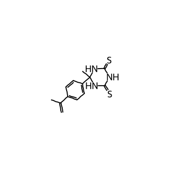 C=C(C)c1ccc(C2(C)NC(=S)NC(=S)N2)cc1